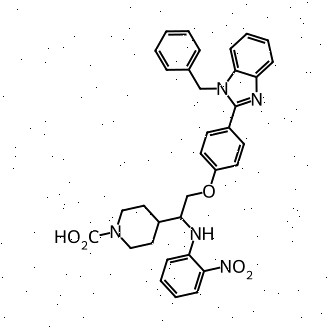 O=C(O)N1CCC(C(COc2ccc(-c3nc4ccccc4n3Cc3ccccc3)cc2)Nc2ccccc2[N+](=O)[O-])CC1